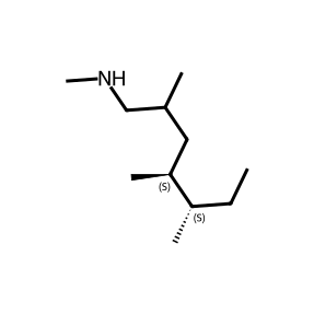 CC[C@H](C)[C@@H](C)CC(C)CNC